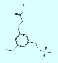 CCc1cc(CCC(=O)OC)cc(COS(C)(=O)=O)c1